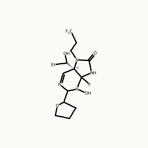 CCC(O)[C@@]12C=NC(C3CCCO3)N(O)C1(F)NC(=O)N2CCC(F)(F)F